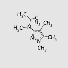 Cc1c(N(C)C(C)C)nn(C)c1C